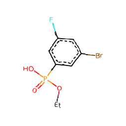 CCOP(=O)(O)c1cc(F)cc(Br)c1